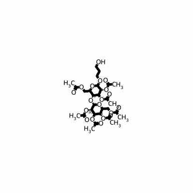 CC(=O)OCC1OC(OCCCO)[C@H](OC(C)=O)C(OC(C)=O)[C@@H]1O[C@H]1OC(COC(C)=O)[C@@H](OC(C)=O)C(OC(C)=O)[C@H]1OC(C)=O